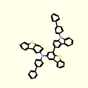 c1ccc(-c2ccc(N(c3ccc4sc5ccccc5c4c3)c3cc(-c4ccc5c(c4)c4ccccc4n5-c4ccc(-c5ccccc5)cc4)c4sc5ccccc5c4c3)cc2)cc1